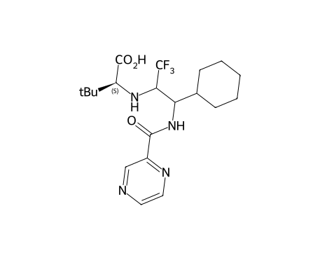 CC(C)(C)[C@H](NC(C(NC(=O)c1cnccn1)C1CCCCC1)C(F)(F)F)C(=O)O